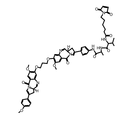 COc1ccc(C2=CN3C(=O)c4cc(OC)c(OCCCOc5cc6c(cc5OC)C(=O)N5C=C(c7ccc(NC(=O)C(C)NC(=O)C(NC(=O)CCCCCN8C(=O)C=CC8=O)C(C)C)cc7)C[C@H]5C=N6)cc4N=C[C@@H]3C2)cc1